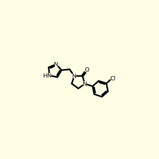 O=C1N(Cc2c[nH]cn2)CCN1c1cccc(Cl)c1